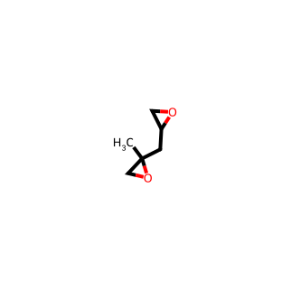 CC1(CC2CO2)CO1